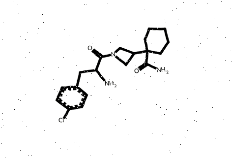 NC(=O)C1(C2CN(C(=O)C(N)Cc3ccc(Cl)cc3)C2)CCCCC1